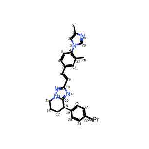 Cc1cn(-c2ccc(/C=C/c3nc4n(n3)CCC[C@@H]4c3ccc(C(C)C)cc3)cc2C)cn1